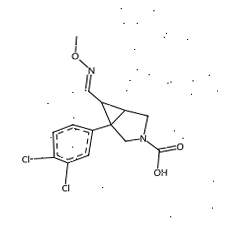 CON=CC1C2CN(C(=O)O)CC12c1ccc(Cl)c(Cl)c1